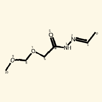 CC=NNC(=O)COCOC